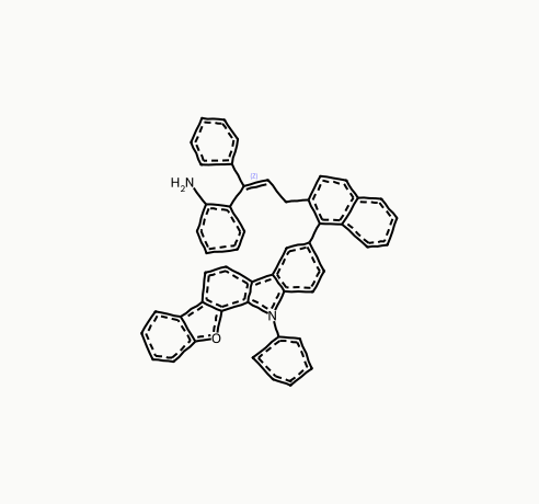 Nc1ccccc1/C(=C\Cc1ccc2ccccc2c1-c1ccc2c(c1)c1ccc3c4ccccc4oc3c1n2-c1ccccc1)c1ccccc1